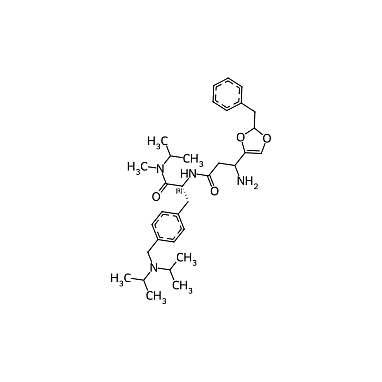 CC(C)N(C)C(=O)[C@@H](Cc1ccc(CN(C(C)C)C(C)C)cc1)NC(=O)CC(N)C1=COC(Cc2ccccc2)O1